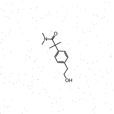 CN(C)C(=O)C(C)(C)c1ccc(CCO)cc1